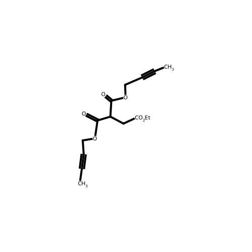 CC#CCOC(=O)C(CC(=O)OCC)C(=O)OCC#CC